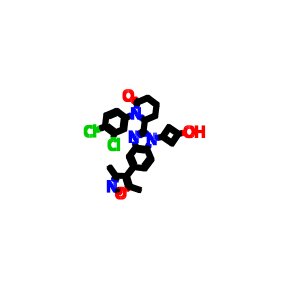 Cc1noc(C)c1-c1ccc2c(c1)nc(C1CCCC(=O)N1c1ccc(Cl)c(Cl)c1)n2C1CC(O)C1